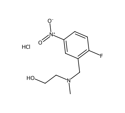 CN(CCO)Cc1cc([N+](=O)[O-])ccc1F.Cl